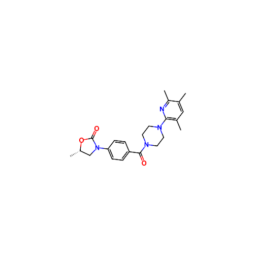 Cc1cc(C)c(N2CCN(C(=O)c3ccc(N4C[C@H](C)OC4=O)cc3)CC2)nc1C